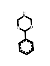 B1COC(c2ccccc2)OC1